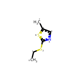 CCSc1ncc(C)s1